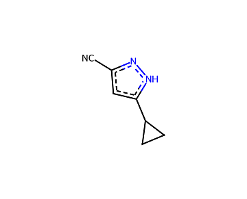 N#Cc1cc(C2CC2)[nH]n1